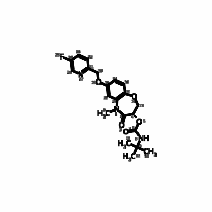 CN1C(=O)[C@@H](OC(=O)NC(C)(C)C)COc2ccc(OCc3ccc(F)cn3)cc21